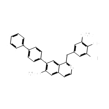 COc1cc2ccnc(Cc3cc(C)c(C)c(OC)c3)c2cc1-c1ccc(-c2ccccc2)cc1